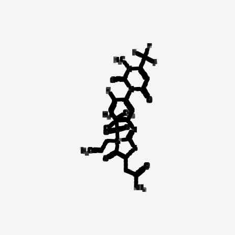 C=CC[N+]1(S(=O)(=O)C(C)C)C(=O)C(CC(N)=O)SC1=Nc1cc(-n2c(=O)cc(C(F)(F)F)n(C)c2=O)c(F)cc1Cl